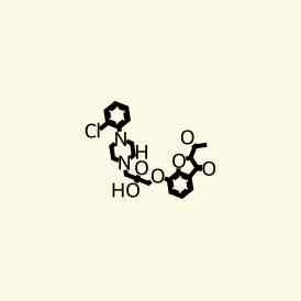 CC(=O)C1Oc2c(OCC(O)(O)CN3CCN(c4ccccc4Cl)CC3)cccc2C1=O